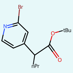 CCCC(C(=O)OC(C)(C)C)c1ccnc(Br)c1